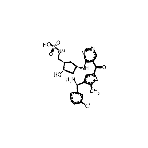 Cc1sc(C(=O)c2cncnc2N[C@H]2C[C@H](O)[C@@H]([CH]NS(=O)(=O)O)C2)cc1[C@H](N)c1cccc(Cl)c1